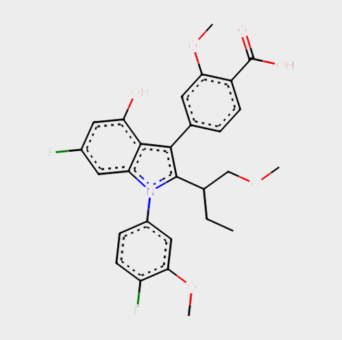 CCC(COC)c1c(-c2ccc(C(=O)O)c(OC)c2)c2c(O)cc(F)cc2n1-c1ccc(F)c(OC)c1